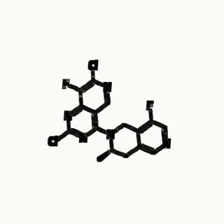 C[C@@H]1Cc2cncc(F)c2CN1c1nc(Cl)nc2c(F)c(Cl)ncc12